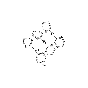 Cl.c1cc[c]([FeH][c]2ccccn2)nc1.c1cc[c]([Fe][c]2ccccn2)nc1.c1cc[c]([Fe][c]2ccccn2)nc1